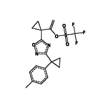 C=C(OS(=O)(=O)C(F)(F)F)C1(c2nc(C3(c4ccc(C)cc4)CC3)no2)CC1